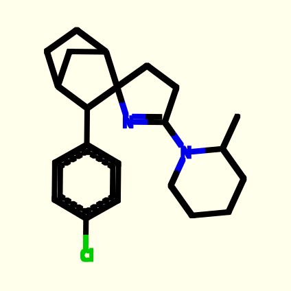 CC1CCCCN1C1=NC2(CC1)C1CCC(C1)C2c1ccc(Cl)cc1